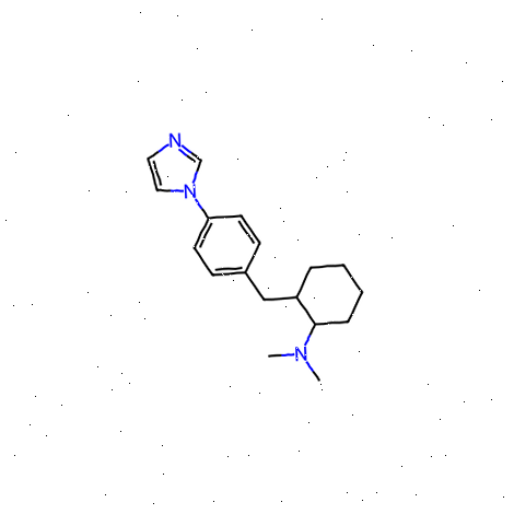 CN(C)C1CCCCC1Cc1ccc(-n2ccnc2)cc1